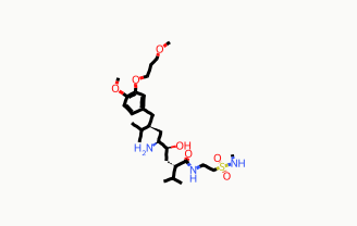 CNS(=O)(=O)CCNC(=O)[C@@H](C[C@H](O)[C@@H](N)C[C@H](Cc1ccc(OC)c(OCCCOC)c1)C(C)C)C(C)C